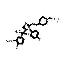 COc1cc(C(C)(C)c2cnc(SCC3CCN(CC(=O)O)CC3)n2-c2ccc(F)cc2)ccc1Cl